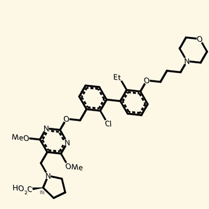 CCc1c(OCCCN2CCOCC2)cccc1-c1cccc(COc2nc(OC)c(CN3CCC[C@H]3C(=O)O)c(OC)n2)c1Cl